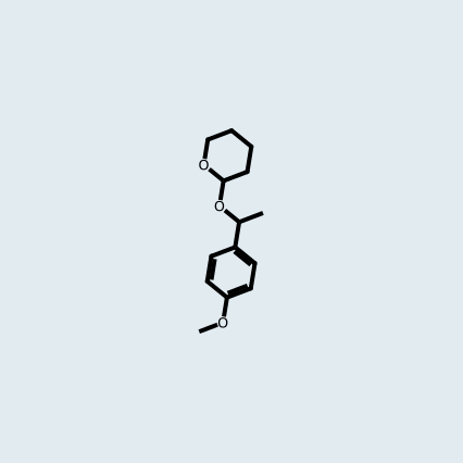 COc1ccc(C(C)OC2CCCCO2)cc1